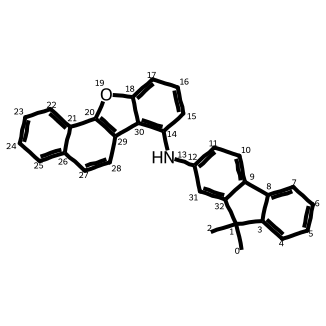 CC1(C)c2ccccc2-c2ccc(Nc3cccc4oc5c6ccccc6ccc5c34)cc21